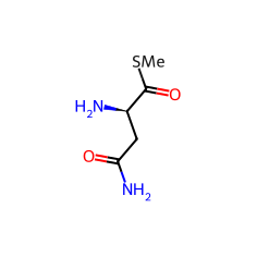 CSC(=O)[C@H](N)CC(N)=O